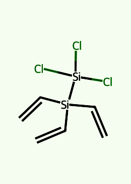 C=C[Si](C=C)(C=C)[Si](Cl)(Cl)Cl